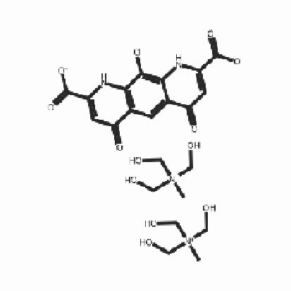 C[N+](CO)(CO)CO.C[N+](CO)(CO)CO.O=C([O-])c1cc(=O)c2cc3c(=O)cc(C(=O)[O-])[nH]c3c(Cl)c2[nH]1